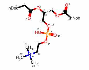 CCCCCCCCCCCC(=O)O[C@H](COC(=O)CCCCCCCCC)COP(=O)(O)OCC[N+](C)(C)C